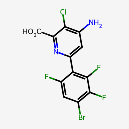 Nc1cc(-c2c(F)cc(Br)c(F)c2F)nc(C(=O)O)c1Cl